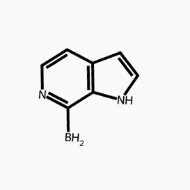 Bc1nccc2cc[nH]c12